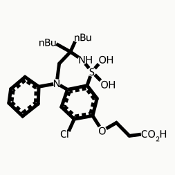 CCCCC1(CCCC)CN(c2ccccc2)c2cc(Cl)c(OCCC(=O)O)cc2S(O)(O)N1